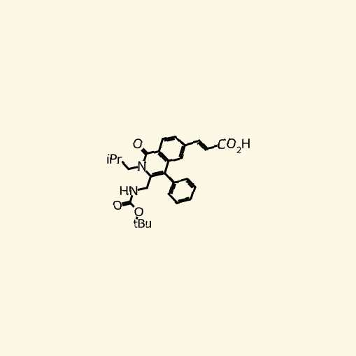 CC(C)Cn1c(CNC(=O)OC(C)(C)C)c(-c2ccccc2)c2cc(C=CC(=O)O)ccc2c1=O